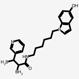 BC(C(=O)NCCCCCCn1ccc2cc(O)ccc21)C(B)c1cccnc1